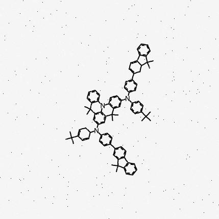 CC(C)(C)C1=CCC(N(c2ccc(-c3ccc4c(c3)C(C)(C)c3ccccc3-4)cc2)c2cc3c4c(c2)C(C)(C)c2cc(N(c5ccc(C6=CC=C7c8ccccc8C(C)(C)C7C6)cc5)c5ccc(C(C)(C)C)cc5)ccc2N4c2ccccc2C3(C)C)C=C1